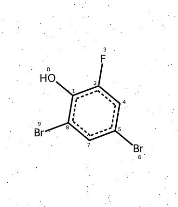 Oc1c(F)cc(Br)cc1Br